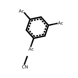 CC#N.CC(=O)c1cc(C(C)=O)cc(C(C)=O)c1